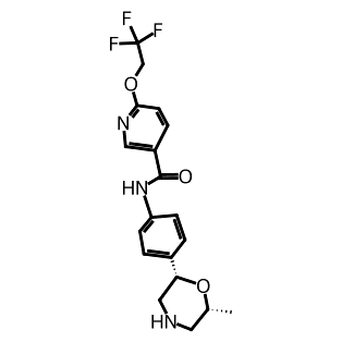 C[C@@H]1CNC[C@H](c2ccc(NC(=O)c3ccc(OCC(F)(F)F)nc3)cc2)O1